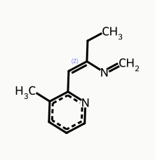 C=N/C(=C\c1ncccc1C)CC